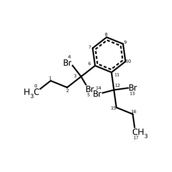 CCCC(Br)(Br)c1ccccc1C(Br)(Br)CCC